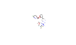 CCOC(=O)c1sc2nc(CN3CCC(c4cccc5c4O[C@@](C)(c4ccc(Cl)cn4)O5)CC3)n(C[C@@H]3CCO3)c2c1F